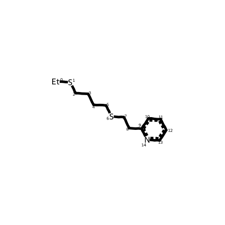 CCSCCCCSCCc1ccccn1